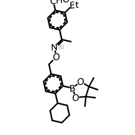 CCc1cc(/C(C)=N/OCc2ccc(C3CCCCC3)c(B3OC(C)(C)C(C)(C)O3)c2)ccc1C=O